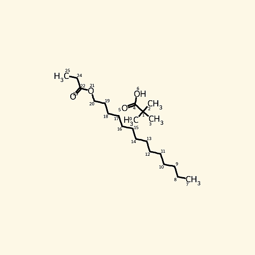 CC(C)(C)C(=O)O.CCCCCCCCCCCCCCOC(=O)CC